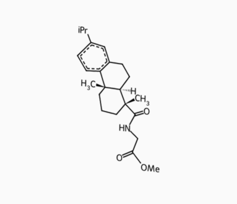 COC(=O)CNC(=O)[C@]1(C)CCC[C@]2(C)c3ccc(C(C)C)cc3CC[C@@H]12